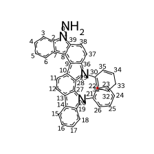 Nn1c2ccccc2c2c3c4ccc5c6ccccc6n(-c6ccccc6)c5c4n(C4=CCCC=C4)c3ccc21